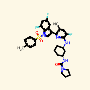 Cc1ccc(S(=O)(=O)n2cc(-c3nc(N[C@@H]4CCC[C@@H](NC(=O)N5CCCC5)C4)c(F)cc3C#N)c3cc(F)cc(F)c32)cc1